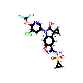 O=C1N(c2cnc(OC(F)F)c(Cl)c2)c2cc3onc(NS(=O)(=O)C4CC4)c3cc2C12CC2